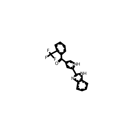 O=C(c1c[nH]c(-c2nc3ccccc3[nH]2)c1)c1ccccc1C(F)(F)F